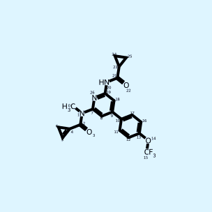 CN(C(=O)C1=CC1)c1cc(-c2ccc(OC(F)(F)F)cc2)cc(NC(=O)C2CC2)n1